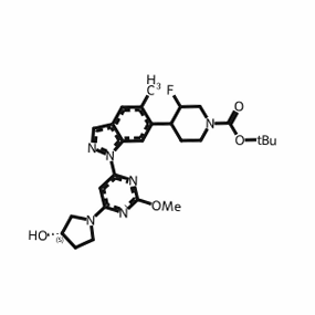 COc1nc(N2CC[C@H](O)C2)cc(-n2ncc3cc(C)c(C4CCN(C(=O)OC(C)(C)C)CC4F)cc32)n1